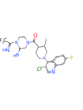 CC1CN(c2c(Cl)cnc3cc(F)ccc23)CCC1C(=O)N1CCN(C(=N)C(F)(F)F)C(=N)C1